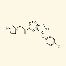 O=C(NC[C@H]1CCNC1)O[C@@H]1[C@@H](O)CN[C@@H]1Cc1ccc(Cl)cc1